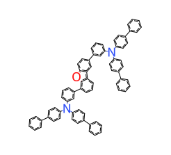 c1ccc(-c2ccc(N(c3ccc(-c4ccccc4)cc3)c3cccc(-c4ccc5oc6c(-c7cccc(N(c8ccc(-c9ccccc9)cc8)c8ccc(-c9ccccc9)cc8)c7)cccc6c5c4)c3)cc2)cc1